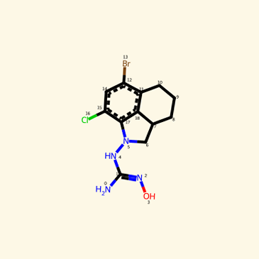 NC(=NO)NN1CC2CCCc3c(Br)cc(Cl)c1c32